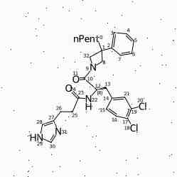 CCCCCC1(c2ccccc2)CN(C(=O)[C@@H](Cc2ccc(Cl)c(Cl)c2)NC(=O)CCc2c[nH]cn2)C1